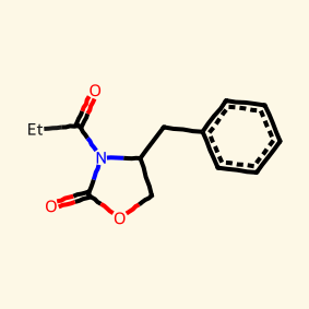 CCC(=O)N1C(=O)OCC1Cc1ccccc1